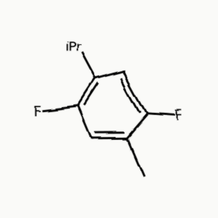 Cc1cc(F)c(C(C)C)cc1F